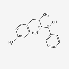 Cc1ccc(CC(C)[C@@H](N)[C@H](O)c2ccccc2)cc1